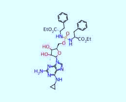 CCOC(=O)[C@H](Cc1ccccc1)NP(=O)(N[C@@H](Cc1ccccc1)C(=O)OCC)OC[C@H]1O[C@@H](n2cnc3c(NC4CC4)nc(N)nc32)[C@@](C)(O)C1O